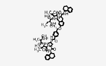 CCC(NC)C(=O)NC(C(=O)N1Cc2cc(OCc3ccc(C(=O)N[C@H]4C[C@@H](C(=O)N[C@@H]5CCCc6ccccc65)N(C(=O)C(NC(=O)C(C)NC)C(C)(C)C)C4)cc3)ccc2CC1C(=O)N[C@@H]1CCCc2ccccc21)C(C)(C)C